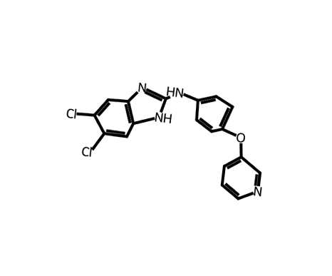 Clc1cc2nc(Nc3ccc(Oc4cccnc4)cc3)[nH]c2cc1Cl